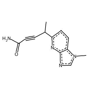 CC(C#CC(N)=O)c1ccc2c(ncn2C)n1